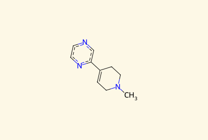 CN1CC=C(c2cnccn2)CC1